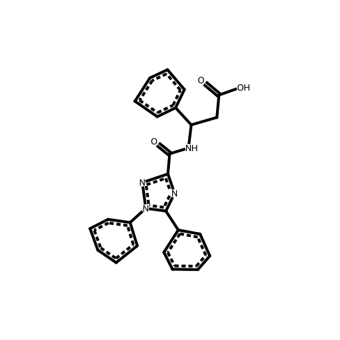 O=C(O)CC(NC(=O)c1nc(-c2ccccc2)n(-c2ccccc2)n1)c1ccccc1